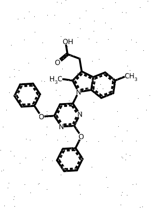 Cc1ccc2c(c1)c(CC(=O)O)c(C)n2-c1cc(Oc2ccccc2)nc(Oc2ccccc2)n1